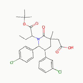 CCC(C(=O)OC(C)(C)C)N1C(=O)C(C)(CC(=O)O)CC(c2cccc(Cl)c2)C1c1ccc(Cl)cc1